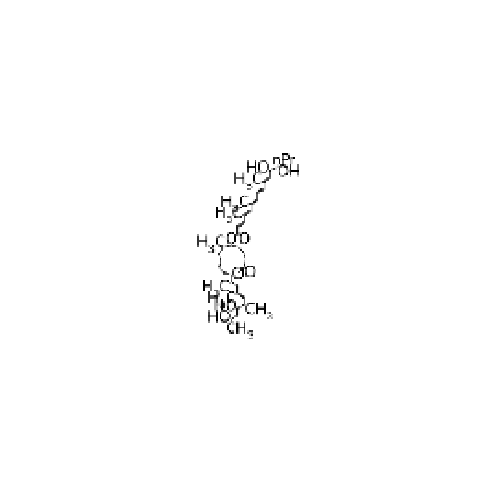 CCC[C@H](O)[C@@H](O)/C=C(C)/C=C/C=C(C)/C=C(C)/C=C/C(=O)OC1CCCC(=O)O[C@@H]([C@@H](C)C/C(C)=C/[C@@H](C)[C@H](O)C[C@@H](C)O)C/C=C/C[C@@H]1C